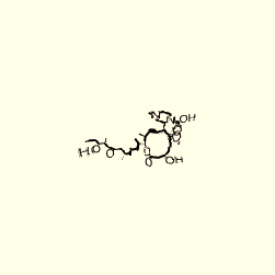 CC[C@@H](O)[C@@H](C)[C@H]1O[C@@H]1C[C@@H](C)/C=C/C=C(\C)[C@H]1OC(=O)C[C@@H](O)CC[C@](C)(OC)[C@H](C2CN(C)CCN2C(=O)O)/C=C/[C@@H]1C